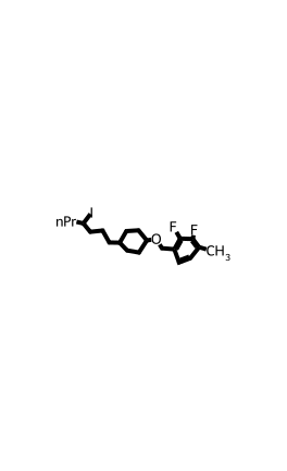 CCCC(I)CCCC1CCC(OCc2ccc(C)c(F)c2F)CC1